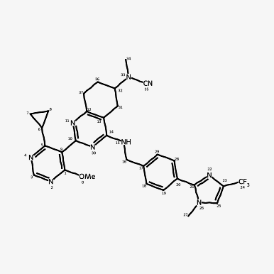 COc1ncnc(C2CC2)c1-c1nc2c(c(NCc3ccc(-c4nc(C(F)(F)F)cn4C)cc3)n1)CC(N(C)C#N)CC2